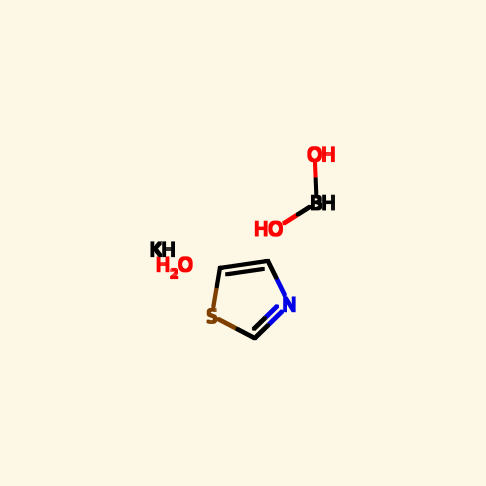 O.OBO.[KH].c1cscn1